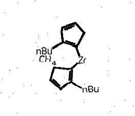 C.CCCCC1=[C]([Zr][C]2=C(CCCC)C=CC2)CC=C1